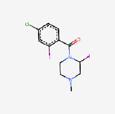 CN1CCN(C(=O)c2ccc(Cl)cc2I)C(I)C1